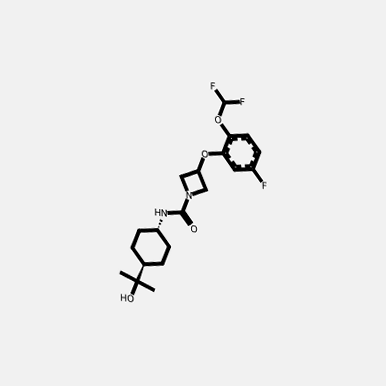 CC(C)(O)[C@H]1CC[C@H](NC(=O)N2CC(Oc3cc(F)ccc3OC(F)F)C2)CC1